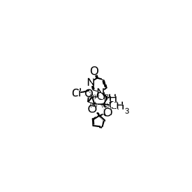 C[C@@]12OC3(CCCC3)O[C@@]13C1Oc4nc(=O)ccn4[C@@H]2O[C@]13CCl